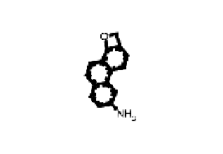 Nc1ccc2ccc3c4c(ccc3c2c1)CO4